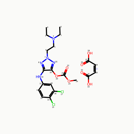 CCN(CC)CCn1nc(Nc2ccc(Cl)c(Cl)c2)c(OC(=O)OC)n1.O=C(O)/C=C\C(=O)O